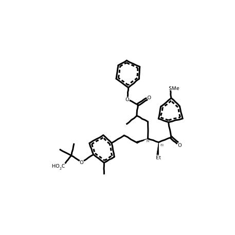 CC[C@H](C(=O)c1ccc(SC)cc1)[C@@H](CCc1ccc(OC(C)(C)C(=O)O)c(C)c1)CC(C)C(=O)Oc1ccccc1